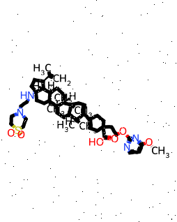 C=C(C)[C@@H]1CC[C@]2(NCCN3CCS(=O)(=O)CC3)CC[C@]3(C)[C@H](CC[C@@H]4C5(C)CC=C(C6=CCC(CCOc7nccc(OC)n7)(C(=O)O)CC6)C(C)(C)[C@@H]5CC[C@]43C)[C@@H]12